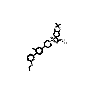 CCOc1cccc(-c2ccc(C3CCN(S(=O)(=O)C4(C(=O)NO)CC5OC(C)(C)OC5C4)CC3)cc2C)n1